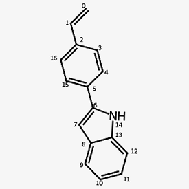 C=Cc1ccc(-c2cc3ccccc3[nH]2)cc1